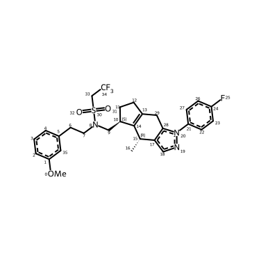 COc1cccc(CCN(C[C@H]2CCC3=C2[C@@H](C)c2cnn(-c4ccc(F)cc4)c2C3)S(=O)(=O)CC(F)(F)F)c1